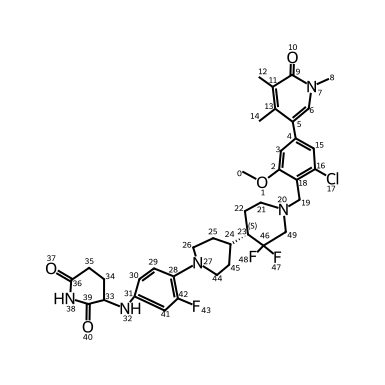 COc1cc(-c2cn(C)c(=O)c(C)c2C)cc(Cl)c1CN1CC[C@@H](C2CCN(c3ccc(NC4CCC(=O)NC4=O)cc3F)CC2)C(F)(F)C1